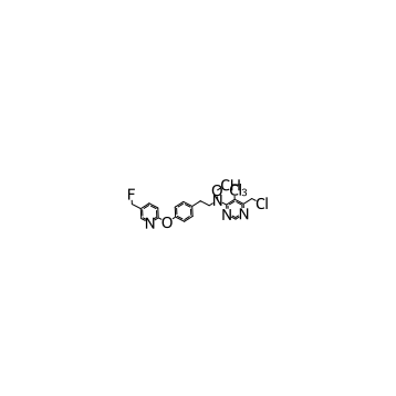 CON(CCc1ccc(Oc2ccc(CF)cn2)cc1)c1ncnc(CCl)c1Cl